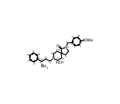 COc1ccc(CN2CCC3(CCN(CC[C@H](N)c4ccccc4)CC3)C2=O)cc1.Cl